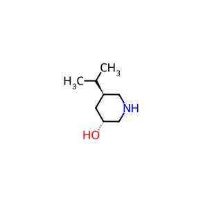 CC(C)[C@H]1CNC[C@H](O)C1